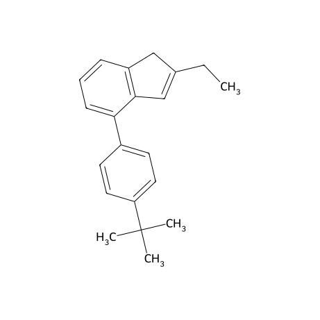 CCC1=Cc2c(cccc2-c2ccc(C(C)(C)C)cc2)C1